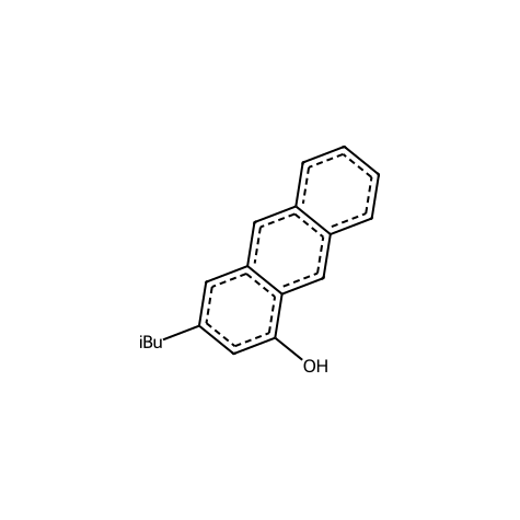 CCC(C)c1cc(O)c2cc3ccccc3cc2c1